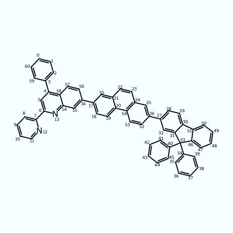 c1ccc(-c2cc(-c3ccccn3)nc3cc(-c4ccc5c(ccc6cc(-c7ccc8c(c7)C(c7ccccc7)(c7ccccc7)c7ccccc7-8)ccc65)c4)ccc23)cc1